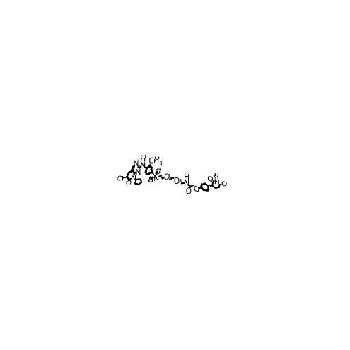 Cc1cc(S(=O)(=O)NCCOCCOCCNC(=O)COc2ccc(C3CCC(=O)NC3=O)cc2)ccc1Nc1ncc2cc(Cl)c(=O)n(C3CCCC3)c2n1